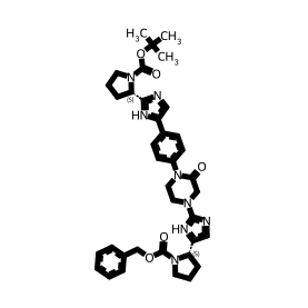 CC(C)(C)OC(=O)N1CCC[C@H]1c1ncc(-c2ccc(N3CCN(c4ncc([C@@H]5CCCN5C(=O)OCc5ccccc5)[nH]4)CC3=O)cc2)[nH]1